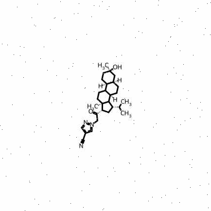 CC(C)[C@@H]1C[C@H](C(=O)Cn2cc(C#N)cn2)[C@@]2(C)CCC3[C@@H](CC[C@@H]4C[C@](C)(O)CC[C@H]34)C12